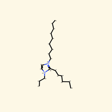 CCCCCCCCC[n+]1ccn(CCC)c1CCCCCC